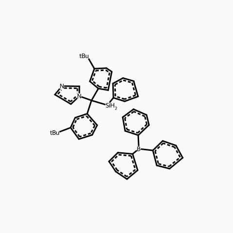 CC(C)(C)c1cccc(C([SiH2]c2ccccc2)(c2cccc(C(C)(C)C)c2)n2ccnc2)c1.c1ccc(B(c2ccccc2)c2ccccc2)cc1